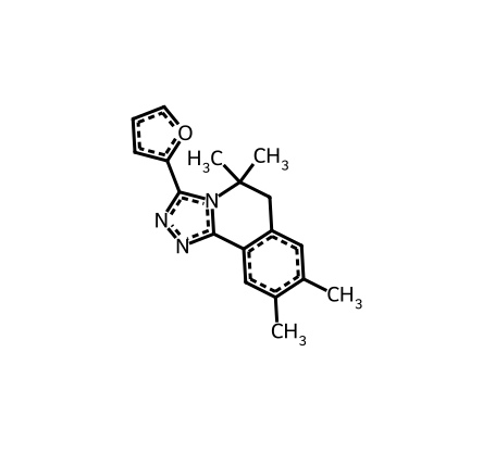 Cc1cc2c(cc1C)-c1nnc(-c3ccco3)n1C(C)(C)C2